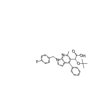 Cc1nc2c(ccn2Cc2ccc(F)cc2)c(-c2ccccc2)c1C(OC(C)(C)C)C(=O)O